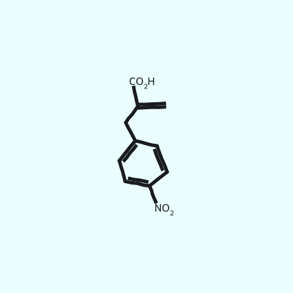 C=C(Cc1ccc([N+](=O)[O-])cc1)C(=O)O